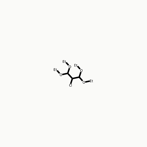 CCOC(OCC)C(Cl)C(OCC)OCC